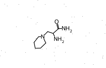 NC(=O)C(N)CN1CCCCC1